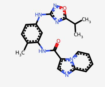 Cc1ccc(Nc2noc(C(C)C)n2)cc1NC(=O)c1cnc2ccccn12